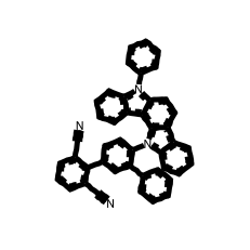 N#Cc1cccc(C#N)c1-c1ccc(-n2c3ccccc3c3ccc4c(c5ccccc5n4-c4ccccc4)c32)c(-c2ccccc2)c1